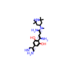 CN(/C(N)=C/C=C(\N)c1c(O)cc(/C(C=N)=C/N)cc1O)C1CC(C)(C)NC(C)(C)C1